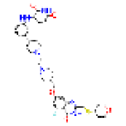 O=C1CCC(Nc2cccc(C3CCN(CCN4CCC(COc5cc(F)c6c(=O)[nH]c(CSC7CCOCC7)nc6c5)CC4)CC3)c2)C(=O)N1